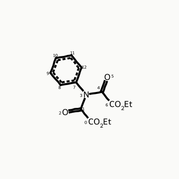 CCOC(=O)C(=O)N(C(=O)C(=O)OCC)c1ccccc1